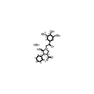 Br.CC(C)(C)c1cc(C(=O)CN2CC(C(N)=O)C(c3ccccc3)C2=N)cc(C(C)(C)C)c1O